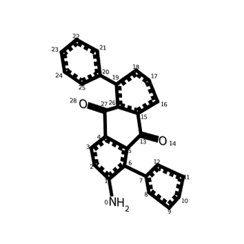 Nc1ccc2c(c1-c1ccccc1)C(=O)c1cccc(-c3ccccc3)c1C2=O